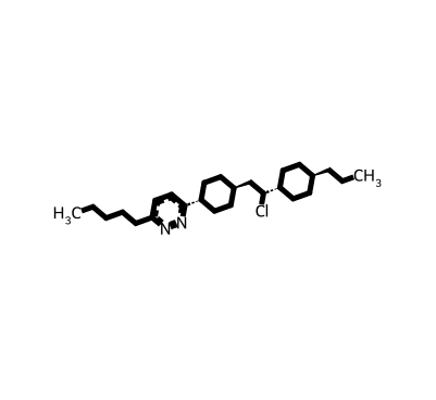 CCCCCc1ccc([C@H]2CC[C@H](CC(Cl)[C@H]3CC[C@H](CCC)CC3)CC2)nn1